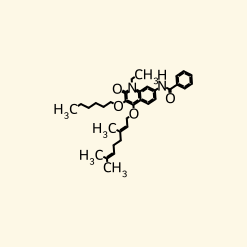 CCCCCCOc1c(OC/C=C(\C)CCC=C(C)C)c2ccc(NC(=O)c3ccccc3)cc2n(CC)c1=O